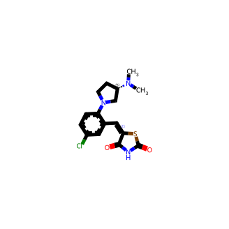 CN(C)[C@H]1CCN(c2ccc(Cl)cc2/C=C2/SC(=O)NC2=O)C1